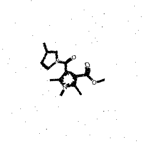 COC(=O)c1c(C(=O)N2CCC(C)C2)c(C)n(C)c1C